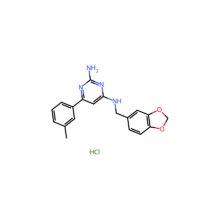 Cc1cccc(-c2cc(NCc3ccc4c(c3)OCO4)nc(N)n2)c1.Cl